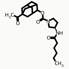 CCCCCC(=O)N[C@@H]1CCN(C(=O)OC2C3CC4CC2CC(C(C)=O)(C4)C3)C1